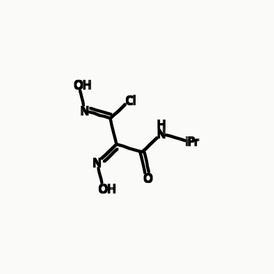 CC(C)NC(=O)C(=N\O)/C(Cl)=N/O